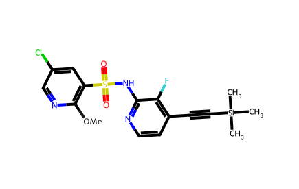 COc1ncc(Cl)cc1S(=O)(=O)Nc1nccc(C#C[Si](C)(C)C)c1F